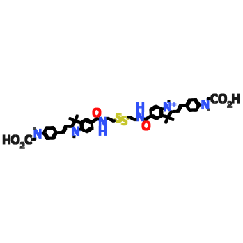 CN(CC(=O)O)c1ccc(/C=C/C2=[N+](C)c3ccc(C(=O)NCCSSCCNC(=O)c4ccc5c(c4)C(C)(C)C(/C=C/c4ccc(N(C)CC(=O)O)cc4)N5C)cc3C2(C)C)cc1